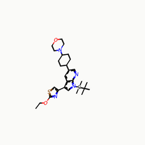 CCOc1nc(-c2cn([Si](C)(C)C(C)(C)C)c3ncc(C4CCC(N5CCOCC5)CC4)cc23)cs1